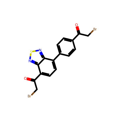 O=C(CBr)c1ccc(-c2ccc(C(=O)CBr)c3nsnc23)cc1